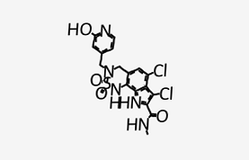 CNC(=O)c1[nH]c2c3c(cc(Cl)c2c1Cl)CN(Cc1ccnc(O)c1)S(=O)(=O)N3